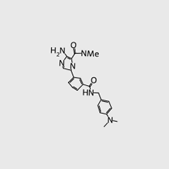 CNC(=O)c1nc(-c2cccc(C(=O)NCc3ccc(N(C)C)cc3)c2)cnc1N